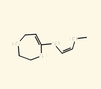 CN/C=C\NC1=CCNCCN1